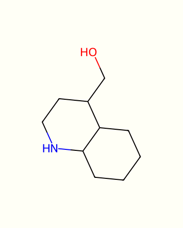 OCC1CCNC2CCCCC12